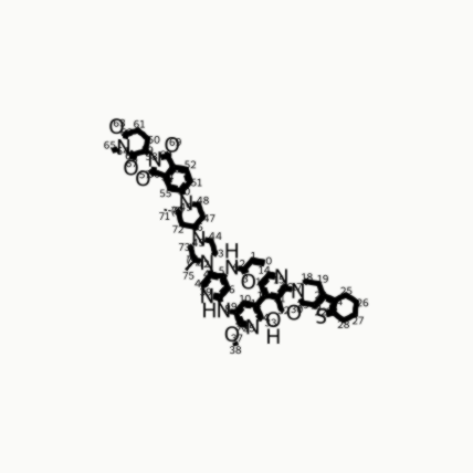 C=CC(=O)Nc1cc(Nc2cc(-c3ccnc(N4CCc5c(sc6c5CCCC6)C4=O)c3CO)cnc2OC)ncc1N1CCN(C2CCN(c3ccc4c(c3)C(=O)N(C3CCC(=O)N(C)C3=O)C4=O)[C@@H](C)C2)C[C@@H]1C